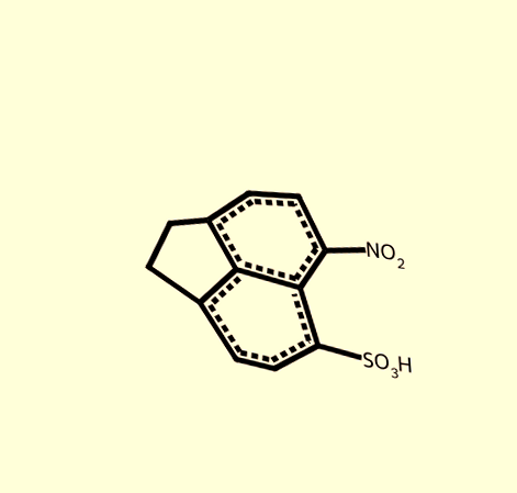 O=[N+]([O-])c1ccc2c3c(ccc(S(=O)(=O)O)c13)CC2